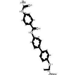 CCCCCC[C@H](C)Oc1ccc(-c2ccc(OC(=O)c3ccc(OC(=O)[C@@H](C)CC)cc3)cc2)cc1